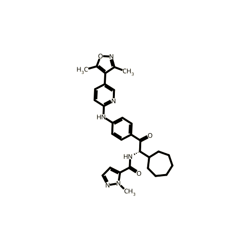 Cc1noc(C)c1-c1ccc(Nc2ccc(C(=O)[C@@H](NC(=O)c3ccnn3C)C3CCCCCC3)cc2)nc1